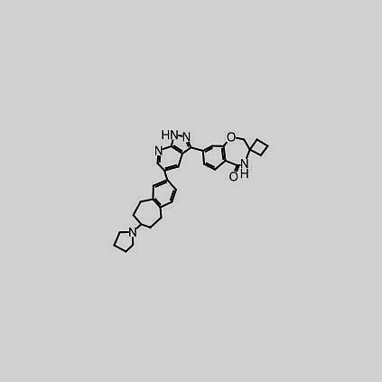 O=C1NC2(CCC2)COc2cc(-c3n[nH]c4ncc(-c5ccc6c(c5)CCC(N5CCCC5)CC6)cc34)ccc21